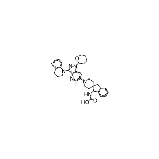 Cc1nc2c(N3CCCc4ncccc43)nn(C3CCCCO3)c2nc1N1CCC2(CC1)Cc1ccccc1[C@H]2NC(=O)O